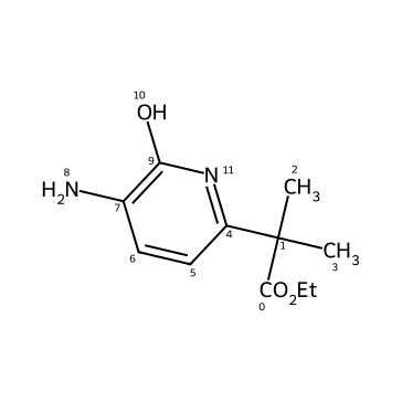 CCOC(=O)C(C)(C)c1ccc(N)c(O)n1